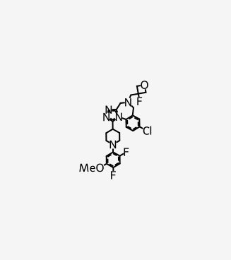 COc1cc(N2CCC(c3nnc4n3-c3ccc(Cl)cc3CN(CC3(F)COC3)C4)CC2)c(F)cc1F